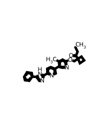 CCCC(=O)C1(COc2cc(C)c(-c3ccc(-c4ncc(-c5ccccc5)[nH]4)nc3)cn2)CCC1